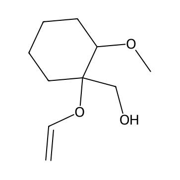 C=COC1(CO)CCCCC1OC